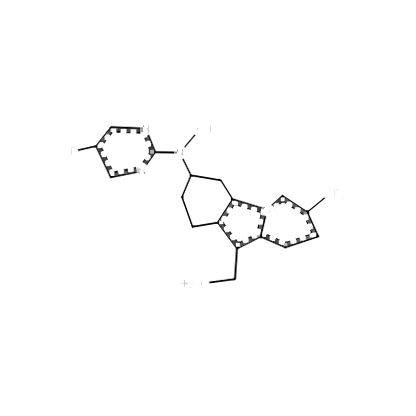 CN(c1ncc(F)cn1)C1CCc2c(CC(=O)O)c3ccc(C(F)(F)F)cn3c2C1